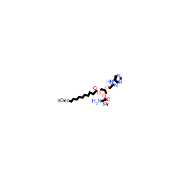 CCCCCCCCCCCCCCCCCCCC(=O)OCC(COC(=O)[C@@H](N)C(C)C)OCc1nc2ncncc2[nH]1